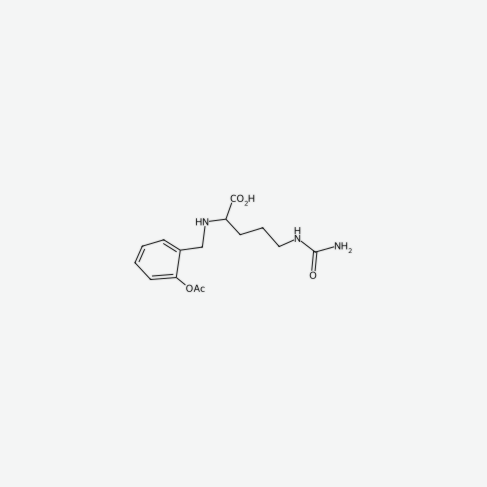 CC(=O)Oc1ccccc1CNC(CCCNC(N)=O)C(=O)O